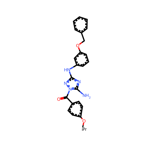 CC(C)Oc1ccc(C(=O)n2nc(Nc3cccc(OCc4ccccc4)c3)nc2N)cc1